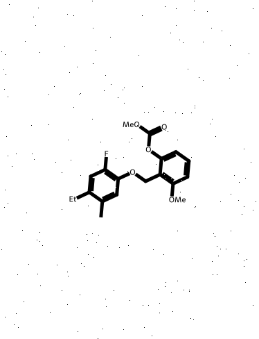 CCc1cc(F)c(OCc2c(OC)cccc2OC(=O)OC)cc1C